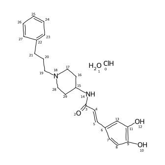 Cl.O.O=C(C=Cc1ccc(O)c(O)c1)NC1CCN(CCCc2ccccc2)CC1